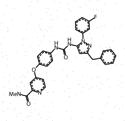 CNC(=O)c1cc(Oc2ccc(NC(=O)Nc3cc(Cc4ccccc4)nn3-c3cccc(F)c3)cc2)ccn1